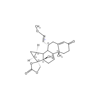 CO/N=C/[C@@H]1CC2=CC(=O)CC[C@]2(C)C2=CC[C@@]3(C)C(C21)[C@@H]1C[C@@H]1[C@@]31COC(=O)O1